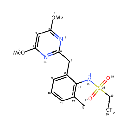 COc1cc(OC)nc(Cc2cccc(C)c2NS(=O)(=O)CC(F)(F)F)n1